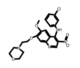 COc1cc2c(Nc3cccc(Cl)c3)c([N+](=O)[O-])cnc2cc1OCCN1CCOCC1